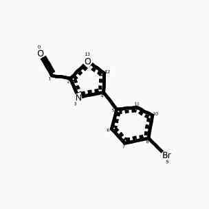 O=Cc1nc(-c2ccc(Br)cc2)co1